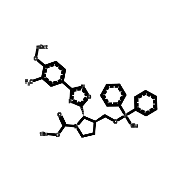 CCCCCCCCOc1ccc(-c2noc([C@@H]3[C@@H](CO[Si](c4ccccc4)(c4ccccc4)C(C)(C)C)CCN3C(=O)OC(C)(C)C)n2)cc1C(F)(F)F